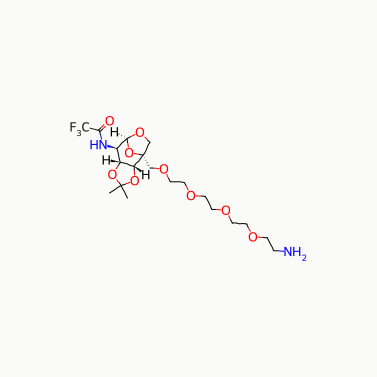 CC1(C)O[C@@H]2[C@@H](NC(=O)C(F)(F)F)[C@H]3OC[C@](COCCOCCOCCOCCN)(O3)[C@@H]2O1